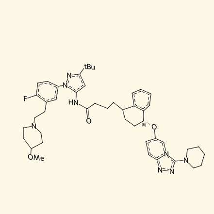 COC1CCN(CCc2cc(-n3nc(C(C)(C)C)cc3NC(=O)CCCC3CC[C@@H](Oc4ccc5nnc(N6CCCCC6)n5c4)c4ccccc43)ccc2F)CC1